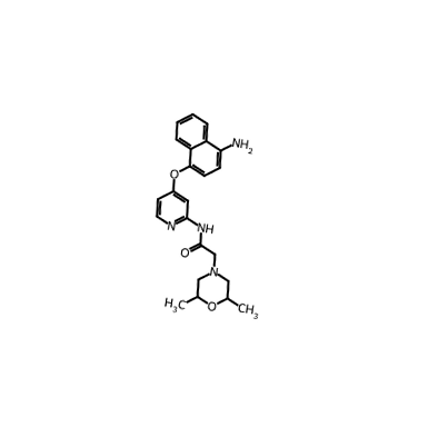 CC1CN(CC(=O)Nc2cc(Oc3ccc(N)c4ccccc34)ccn2)CC(C)O1